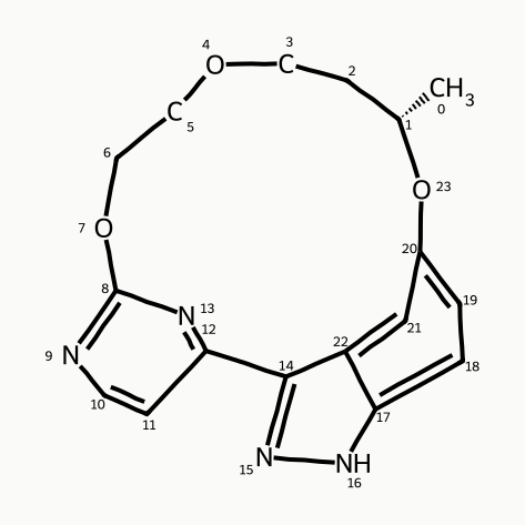 C[C@H]1CCOCCOc2nccc(n2)-c2n[nH]c3ccc(cc23)O1